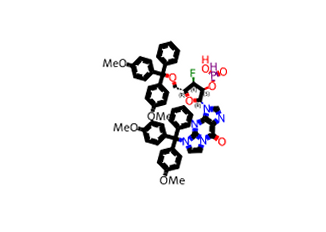 COc1ccc(C(OC[C@H]2O[C@@H](n3cnc4c(=O)n5ccn(C(c6ccccc6)(c6ccc(OC)cc6)c6ccc(OC)cc6)c5nc43)[C@H](O[PH](=O)O)[C@@H]2F)(c2ccccc2)c2ccc(OC)cc2)cc1